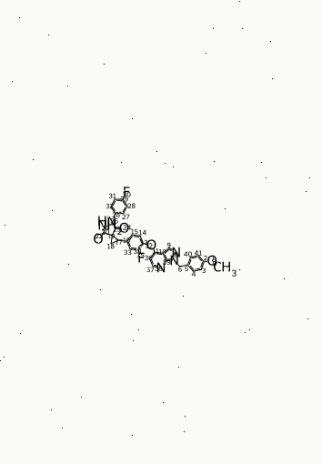 COc1ccc(Cn2ncc3c(Oc4ccc(C5CC5(C(N)=O)C(=O)Nc5ccc(F)cc5)cc4F)ccnc32)cc1